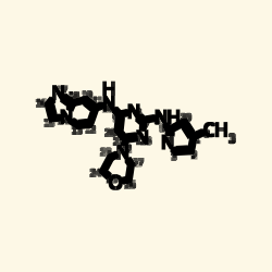 Cc1ccnc(Nc2nc(Nc3ccn4ccnc4c3)cc(N3CCOCC3)n2)c1